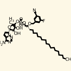 CCCCCCCCCCCCCCCCCC[C@H](COP(=O)(O)OC1[C@@]2(C)O[C@@H](c3ccc4c(N)ncnn34)[C@H](O)[C@@]12O)OCc1cc(F)cc(C#N)c1